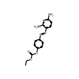 CCOC(=O)Oc1ccc(/N=N/c2ccc(N)nc2N)cc1